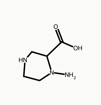 NN1CCNCC1C(=O)O